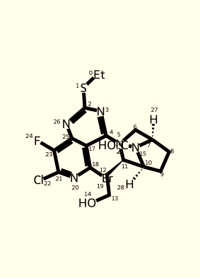 CCSc1nc(N2C[C@H]3CC[C@@H]([C@H]2CCO)N3C(=O)O)c2c(Br)nc(Cl)c(F)c2n1